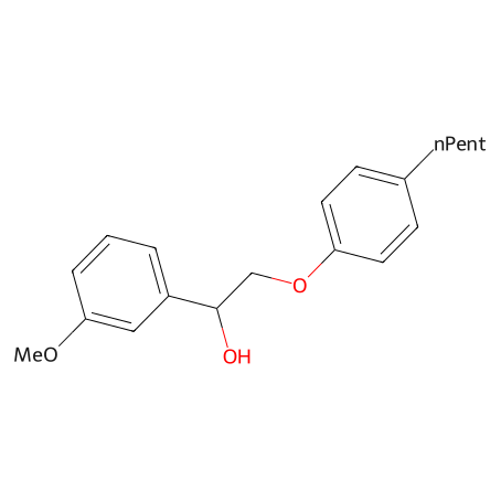 CCCCCc1ccc(OCC(O)c2cccc(OC)c2)cc1